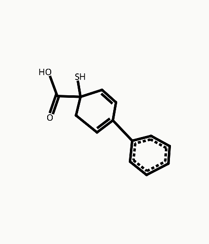 O=C(O)C1(S)C=CC(c2ccccc2)=CC1